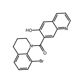 O=C(c1cc2ncccc2cc1O)N1CCCc2cccc(Br)c21